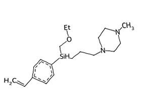 C=Cc1ccc([SiH](CCCN2CCN(C)CC2)COCC)cc1